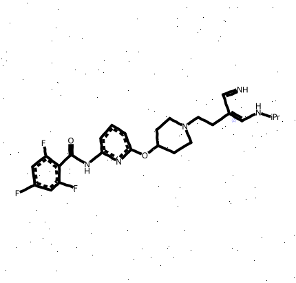 CC(C)N/C=C(\C=N)CCN1CCC(Oc2cccc(NC(=O)c3c(F)cc(F)cc3F)n2)CC1